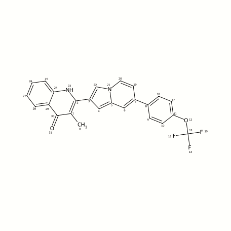 Cc1c(-c2cc3cc(-c4ccc(OC(F)(F)F)cc4)ccn3c2)[nH]c2ccccc2c1=O